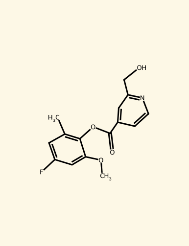 COc1cc(F)cc(C)c1OC(=O)c1ccnc(CO)c1